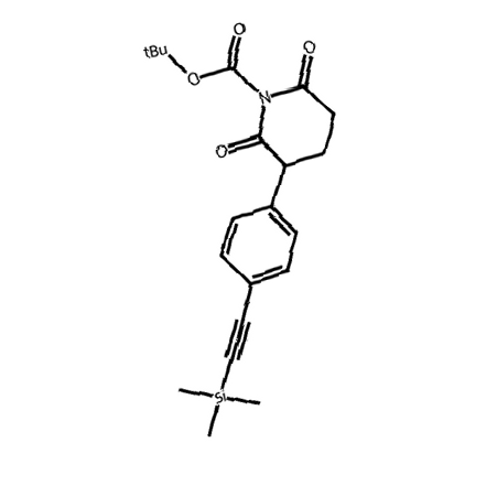 CC(C)(C)OC(=O)N1C(=O)CCC(c2ccc(C#C[Si](C)(C)C)cc2)C1=O